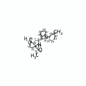 CCC(=O)O/N=C(\Cc1ccccc1C)c1cn(C2=C=C(C)C=CC=C2)c2ccccc12